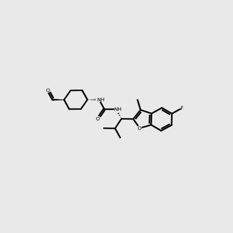 Cc1c([C@@H](NC(=O)N[C@H]2CC[C@H](C=O)CC2)C(C)C)oc2ccc(F)cc12